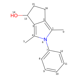 Cc1c2c(c(C)n1-c1ccccc1)C(O)CC2